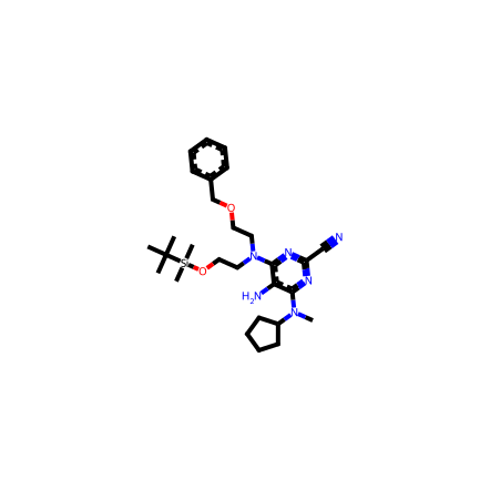 CN(c1nc(C#N)nc(N(CCOCc2ccccc2)CCO[Si](C)(C)C(C)(C)C)c1N)C1CCCC1